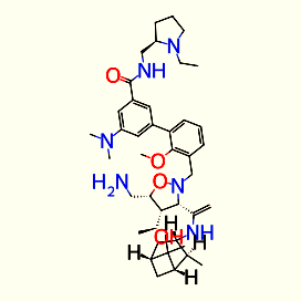 C=C(N[C@H]1C[C@H]2C[C@@H]([C@@H]1C)C2(C)C)[C@@H]1[C@H]([C@H](C)O)[C@H](CN)ON1Cc1cccc(-c2cc(C(=O)NC[C@H]3CCCN3CC)cc(N(C)C)c2)c1OC